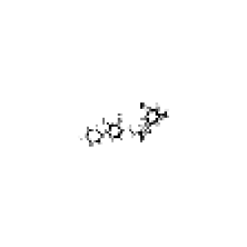 CC1CCC(c2ccc(CCC(F)(F)Oc3cc(F)c(F)c(F)c3)c(F)c2F)CC1